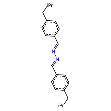 CC(C)Cc1ccc(C=NN=Cc2ccc(CC(C)C)cc2)cc1